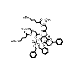 CCCCCCCCCCCCCC(=O)O[C@H](CCCCCCCCCCC)CC(=O)O[C@@H]1[C@@H](OC(=O)C[C@@H](CCCCCCCCCCC)OC(=O)CCCCCCCCCCCCC)[C@@H](OP(=O)(OCc2ccccc2)OCc2ccccc2)O[C@@H]2COC(c3ccccc3)O[C@@H]12